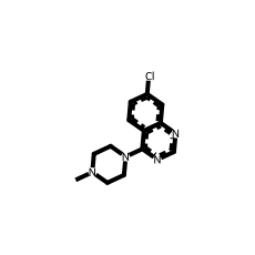 CN1CCN(c2ncnc3cc(Cl)ccc23)CC1